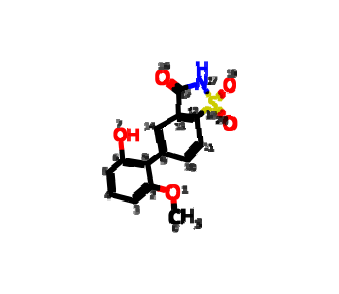 COc1cccc(O)c1-c1ccc2c(c1)C(=O)NS2(=O)=O